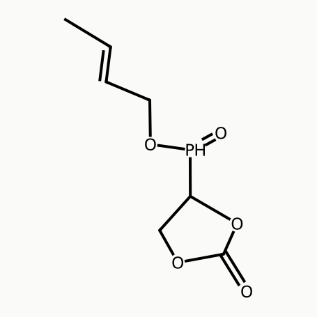 C/C=C/CO[PH](=O)C1COC(=O)O1